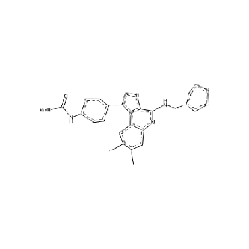 CNC(=O)Nc1ccc(-c2cnc3c(NCc4ccncc4)nc4cc(C)c(C)cc4n23)cc1